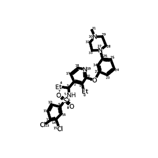 CCc1c(C(CC)NS(=O)(=O)c2ccc(Cl)c(Cl)c2)ccnc1Oc1cccc(N2CCN(C)CC2)c1